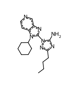 CCCCc1nc(N)n(-c2nc3cnccc3n2C2CCCCC2)n1